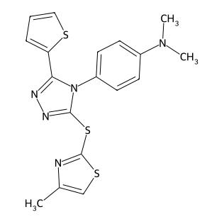 Cc1csc(Sc2nnc(-c3cccs3)n2-c2ccc(N(C)C)cc2)n1